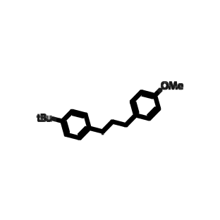 COc1ccc(CC[CH]c2ccc(C(C)(C)C)cc2)cc1